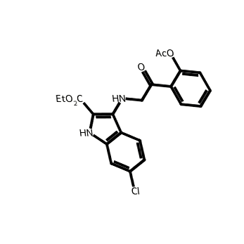 CCOC(=O)c1[nH]c2cc(Cl)ccc2c1NCC(=O)c1ccccc1OC(C)=O